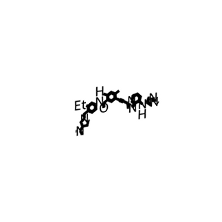 CCc1cc(NC(=O)c2cc(C#Cc3cnc4c(Nc5cnn(C)c5)cccn34)c(C)cc2C)ccc1CN1CCC(N(C)C)C1